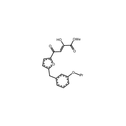 COC(=O)C(O)=CC(=O)c1ccc(Cc2cccc(OC(C)C)c2)o1